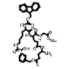 CC(CCC(=O)OCc1ccccc1)NC(=O)CCC(NC(=O)C(CCCCNC(=O)OC(C)(C)C)NC(=O)OCC1c2ccccc2-c2ccccc21)C(=O)NCC(=O)OC(C)(C)C